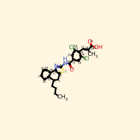 CCCCC1Cc2sc(NC(=O)c3cc(Cl)c(C=C(C)C(=O)O)c(Cl)c3)nc2-c2ccccc21